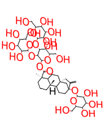 C=C1C[C@@]23CCC4[C@](C)(C(=O)OC5OC(CO)C(O)C(OC6OC(CO)C(O)C(O)C6O)C5OC5OC(CO)C(O)C(O)C5O)CCC[C@@]4(C)[C@@H]2CCC1(OC1OC(CO)C(O)C(O)C1O)C3